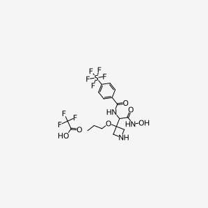 CCCOC1(C(NC(=O)c2ccc(S(F)(F)(F)(F)F)cc2)C(=O)NO)CNC1.O=C(O)C(F)(F)F